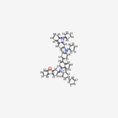 c1ccc(-c2ccc(N(c3ccc4c(c3)oc3ccccc34)c3ccc(-c4ccc(N(c5ccccc5)c5ccc6c7ccccc7n(-c7ccccc7)c6c5)cc4)c4ccccc34)cc2)cc1